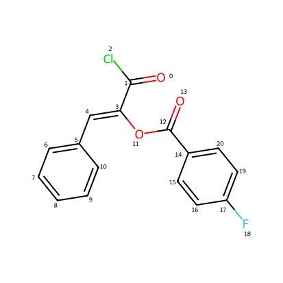 O=C(Cl)C(=Cc1ccccc1)OC(=O)c1ccc(F)cc1